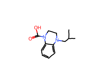 CC(C)CN1CCN(C(=O)O)c2ccccc21